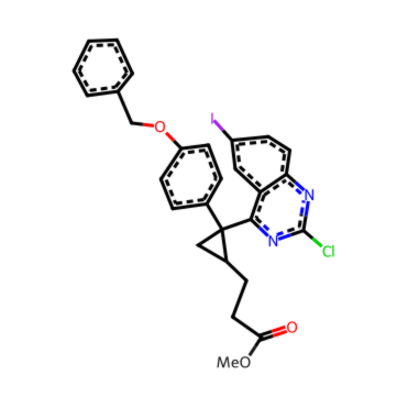 COC(=O)CCC1CC1(c1ccc(OCc2ccccc2)cc1)c1nc(Cl)nc2ccc(I)cc12